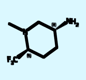 CN1C[C@H](N)CC[C@H]1C(F)(F)F